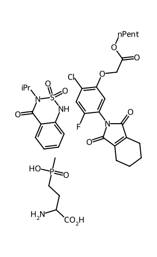 CC(C)N1C(=O)c2ccccc2NS1(=O)=O.CCCCCOC(=O)COc1cc(N2C(=O)C3=C(CCCC3)C2=O)c(F)cc1Cl.CP(=O)(O)CCC(N)C(=O)O